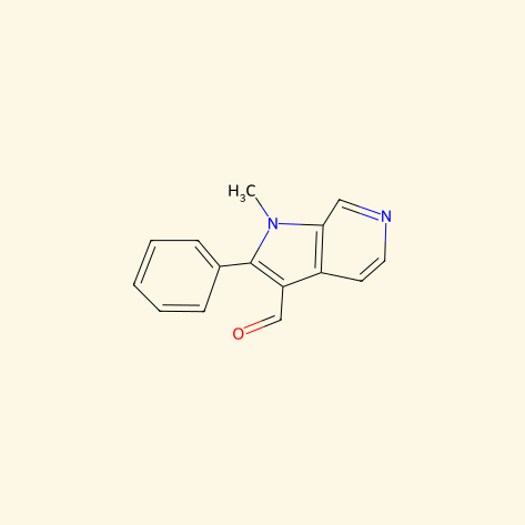 Cn1c(-c2ccccc2)c(C=O)c2ccncc21